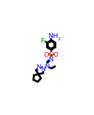 CCN(C=NS(=O)(=O)c1ccc(N)c(F)c1)N1CC2(C=N1)CCCC2